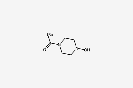 CC(C)(C)C(=O)N1CCN(O)CC1